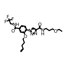 C=CCCCOc1cc(C(=O)NCC(F)(F)F)ccc1-n1cc(C(=O)NCCCOCC)nn1